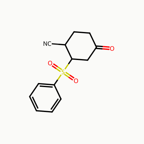 N#CC1CCC(=O)CC1S(=O)(=O)c1ccccc1